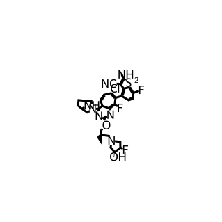 N#Cc1c(N)sc2c(F)ccc(C3=C(Cl)C=CC4C(N5CC6CCC(C5)N6)=NC(OCC5(CN6CC(F)[C@H](O)C6)CC5)=NC4=C3F)c12